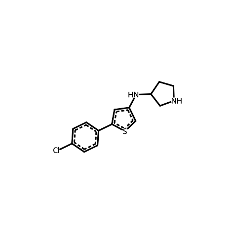 Clc1ccc(-c2cc(NC3CCNC3)cs2)cc1